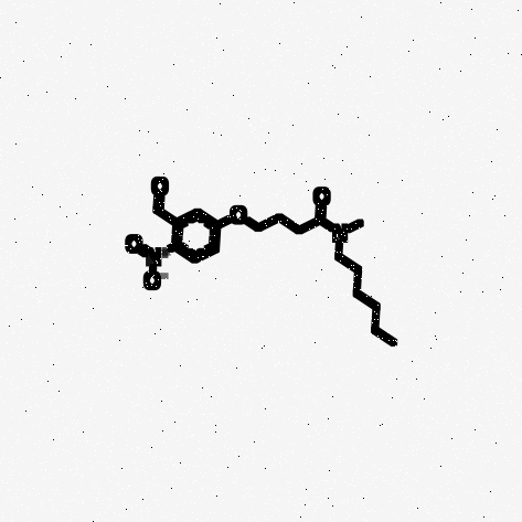 CCCCCCN(C)C(=O)CCCOc1ccc([N+](=O)[O-])c(C=O)c1